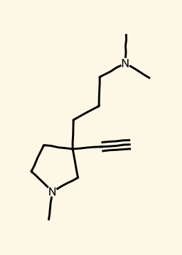 C#CC1(CCCN(C)C)CCN(C)C1